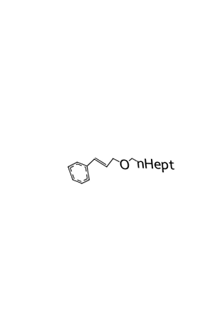 CCCCCCCCOCC=Cc1ccccc1